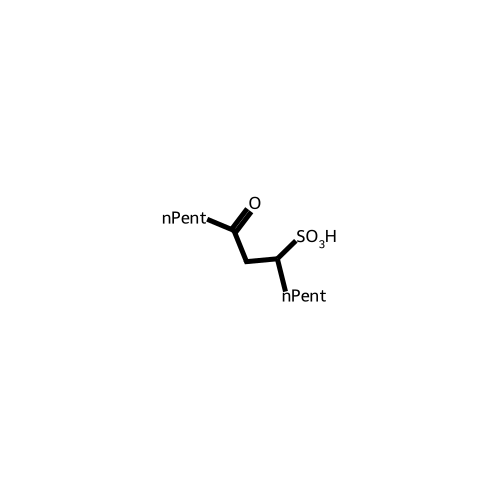 CCCCCC(=O)CC(CCCCC)S(=O)(=O)O